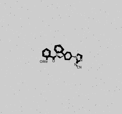 COc1ccccc1C(=O)NC[C@]1(c2ccccc2)CC[C@H](N2CC=NC2=NC#N)CC1